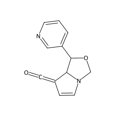 O=C=C1C=CN2COC(c3cccnc3)C12